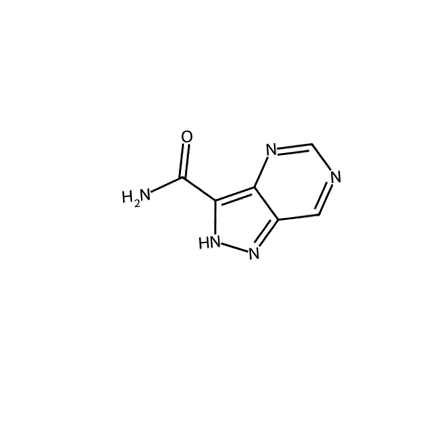 NC(=O)c1[nH]nc2cncnc12